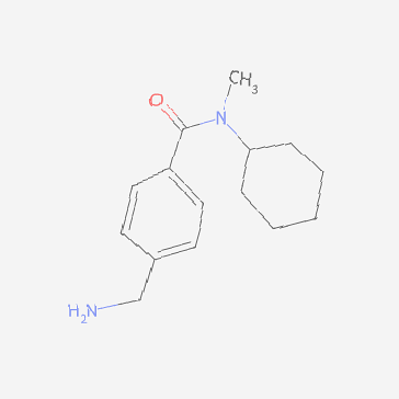 CN(C(=O)c1ccc(CN)cc1)C1CCCCC1